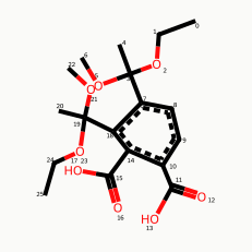 CCOC(C)(OC)c1ccc(C(=O)O)c(C(=O)O)c1C(C)(OC)OCC